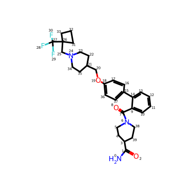 NC(=O)C1CCN(C(=O)c2ccccc2-c2ccc(OCC3CCN(CC4(C(F)(F)F)CCC4)CC3)cc2)CC1